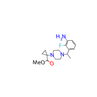 COC(=O)C1(N2CCN(C(C)c3cccc(N)c3F)CC2)CC1